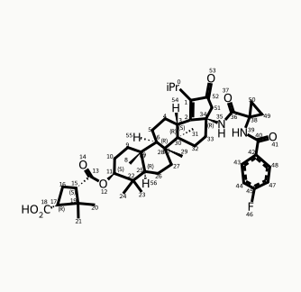 CC(C)C1=C2[C@H]3CC[C@@H]4[C@@]5(C)CC[C@H](OC(=O)[C@H]6C[C@@H](C(=O)O)C6(C)C)C(C)(C)[C@@H]5CC[C@@]4(C)[C@]3(C)CC[C@@]2(NC(=O)C2(NC(=O)c3ccc(F)cc3)CC2)CC1=O